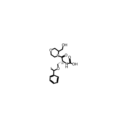 O=C(O)N[C@H](COC(I)c1ccccc1)C(=O)N1CCOCC1CO